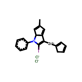 CC1=CC2C(=C1)[C]([Zr+2][C]1=CC=CC1)=C(I)N2c1ccccc1.[Cl-].[Cl-]